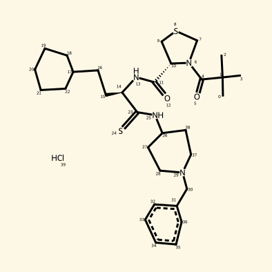 CC(C)(C)C(=O)N1CSC[C@H]1C(=O)N[C@H](CCC1CCCCC1)C(=S)NC1CCN(Cc2ccccc2)CC1.Cl